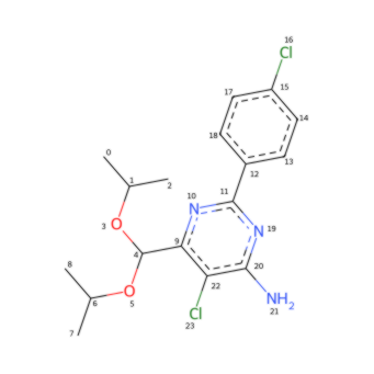 CC(C)OC(OC(C)C)c1nc(-c2ccc(Cl)cc2)nc(N)c1Cl